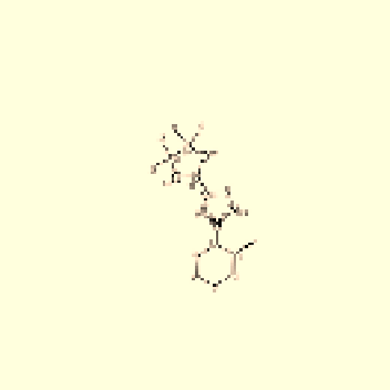 C[C@H]1CCCCC1n1cc(B2OC(C)(C)C(C)(C)O2)cn1